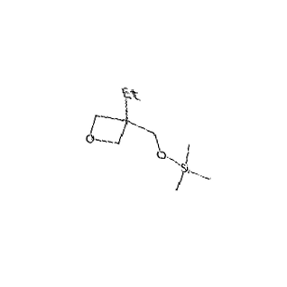 CCC1(CO[Si](C)(C)C)COC1